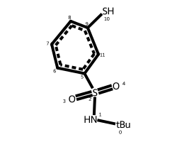 CC(C)(C)NS(=O)(=O)c1cccc(S)c1